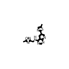 Cc1nc(CNc2ncnc3ncc(-c4ncc(C)s4)cc23)no1